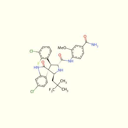 COc1cc(C(N)=O)ccc1NC(=O)[C@@H]1N[C@@H](CC(C)(C)C(F)(F)F)[C@@]2(C(=O)Nc3cc(Cl)ccc32)[C@H]1c1cccc(Cl)c1F